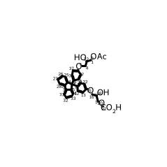 CC(=O)OCC(O)COc1ccc(C2(c3ccc(OCC(O)COC(=O)O)cc3)c3ccccc3-c3ccccc32)cc1